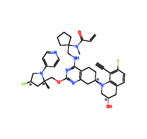 C#Cc1c(F)ccc2c1N([C@@H]1CCc3c(nc(OC[C@]4(C)C[C@@H](F)CN4c4ccncc4)nc3NCC3(N(C)C(=O)C=C)CCCC3)C1)C[C@@H](O)C2